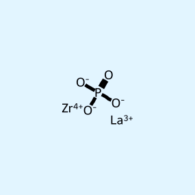 O=P([O-])([O-])[O-].[La+3].[Zr+4]